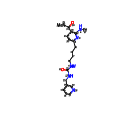 CCNc1nc(CCCCNC(=O)NCc2cccnc2)ccc1C(=O)NC